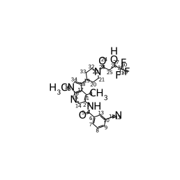 Cc1c(NC(=O)c2cccc(C#N)c2)cnc2c1c(C1CCN(C(=O)CC(O)C(F)(F)F)CC1)cn2C